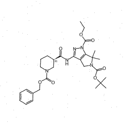 CCOC(=O)n1nc(NC(=O)[C@@H]2CCCN(C(=O)OCc3ccccc3)C2)c2c1C(C)(C)N(C(=O)OC(C)(C)C)C2